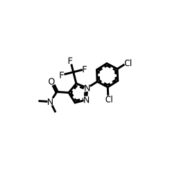 CN(C)C(=O)c1cnn(-c2ccc(Cl)cc2Cl)c1C(F)(F)F